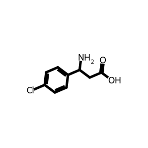 NC(CC(=O)O)c1ccc(Cl)cc1